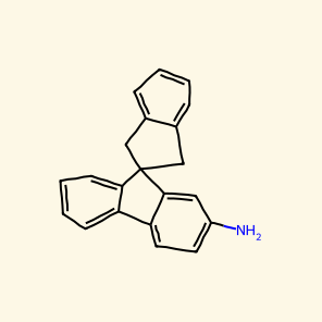 Nc1ccc2c(c1)C1(Cc3ccccc3C1)c1ccccc1-2